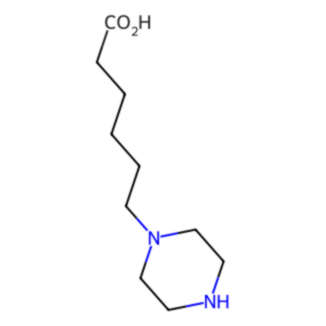 O=C(O)CCCCCN1CCNCC1